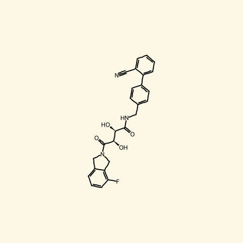 N#Cc1ccccc1-c1ccc(CNC(=O)[C@H](O)[C@@H](O)C(=O)N2Cc3cccc(F)c3C2)cc1